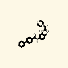 C[C@H](C(=O)Nc1cc(NC(=O)c2ccc(-c3ccccc3)cc2)ccc1F)N1CCOCC1